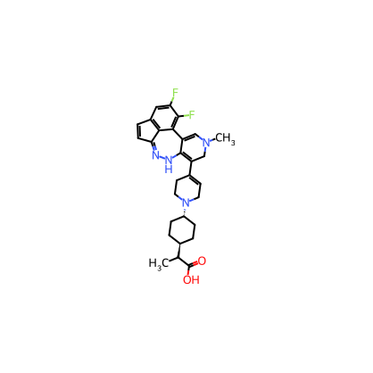 CC(C(=O)O)[C@H]1CC[C@H](N2CC=C(C3=C4NN=C5C=Cc6cc(F)c(F)c(c65)C4=CN(C)C3)CC2)CC1